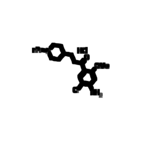 CCCN1CCC(CCC(=O)c2cc(Cl)c(N)cc2OC)CC1.Cl